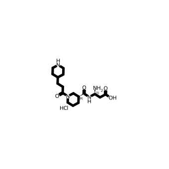 Cl.N[C@H](CC(=O)O)NC(=O)[C@@H]1CCCN(C(=O)CCC2CCNCC2)C1